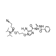 C=C(NC(=O)c1ccccc1)NC(=O)c1ncn(OCCCOP(OCCC#N)N(C(C)C)C(C)C)c1N